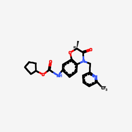 C[C@H]1Oc2cc(NC(=O)OC3CCCC3)ccc2N(Cc2cccc(C(F)(F)F)n2)C1=O